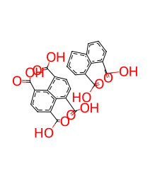 O=C(O)c1ccc(C(=O)O)c2c(C(=O)O)ccc(C(=O)O)c12.O=C(O)c1cccc2cccc(C(=O)O)c12